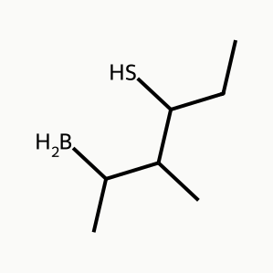 BC(C)C(C)C(S)CC